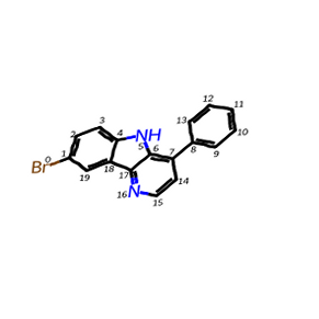 Brc1ccc2[nH]c3c(-c4ccccc4)ccnc3c2c1